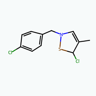 CC1=CN(Cc2ccc(Cl)cc2)SC1Cl